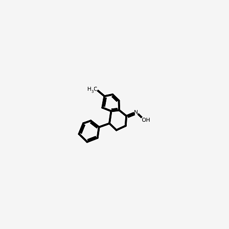 Cc1ccc2c(c1)C(c1ccccc1)CCC2=NO